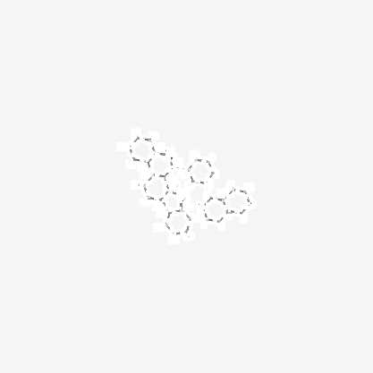 c1cc(-c2nccc3ccccc23)cc(-c2nc3ccccc3c3ccc4c5ccccc5oc4c23)c1